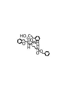 O=C(O)CCc1ccccc1NC(=O)[C@H](CCCNC(=O)OCc1ccccc1)NC(=O)C1Cc2ccccc2O1